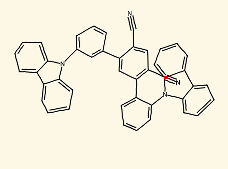 N#Cc1cc(C#N)c(-c2ccccc2-n2c3ccccc3c3ccccc32)cc1-c1cccc(-n2c3ccccc3c3ccccc32)c1